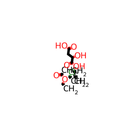 C=C=C.C=CCl.C=COC(C)=O.O=C(O)CC(O)C(=O)O